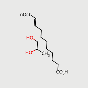 CC(O)CO.CCCCCCCCC=CCCCCCCCC(=O)O